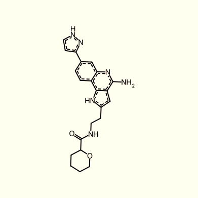 Nc1nc2cc(-c3cc[nH]n3)ccc2c2[nH]c(CCNC(=O)C3CCCCO3)cc12